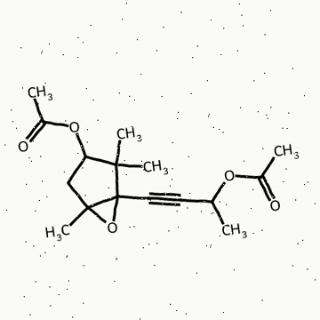 CC(=O)OC(C)C#CC12OC1(C)CC(OC(C)=O)C2(C)C